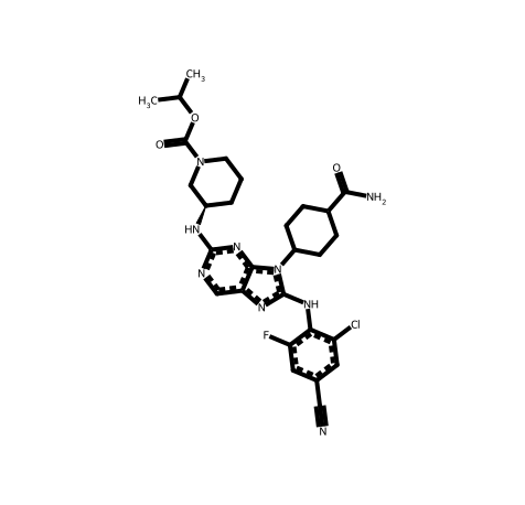 CC(C)OC(=O)N1CCC[C@@H](Nc2ncc3nc(Nc4c(F)cc(C#N)cc4Cl)n(C4CCC(C(N)=O)CC4)c3n2)C1